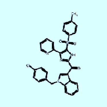 Cc1ccc(S(=O)(=O)c2[nH]c(C(=O)c3cn(Cc4ccc(Cl)cc4)c4ccccc34)nc2-c2ccccn2)cc1